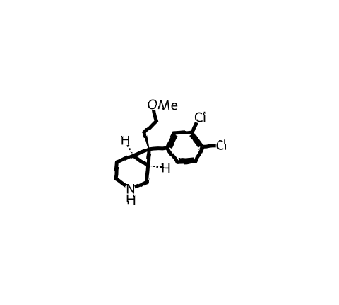 COCC[C@]1(c2ccc(Cl)c(Cl)c2)[C@@H]2CCNC[C@@H]21